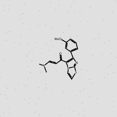 COc1cccc(-c2nc3sccn3c2C(=O)C=CN(C)C)c1